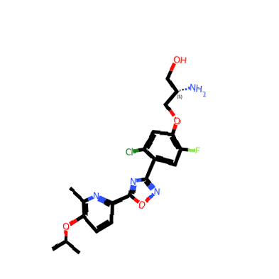 Cc1nc(-c2nc(-c3cc(F)c(OC[C@@H](N)CO)cc3Cl)no2)ccc1OC(C)C